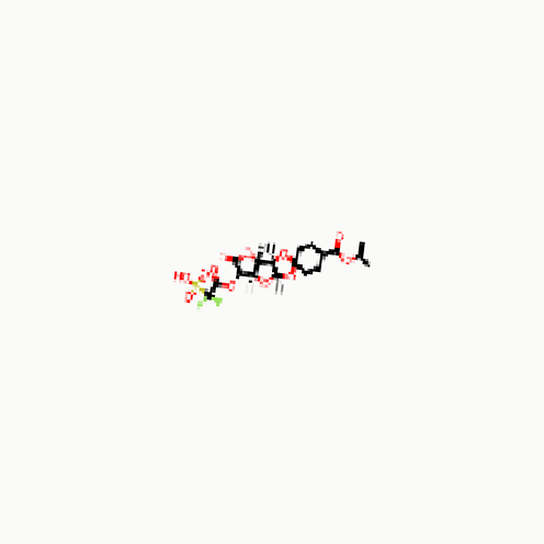 CC(C)OC(=O)C1CCC2(CC1)O[C@H]1O[C@H]3[C@H](OC(=O)[C@H]3OC(=O)C(F)(F)S(=O)(=O)O)[C@H]1O2